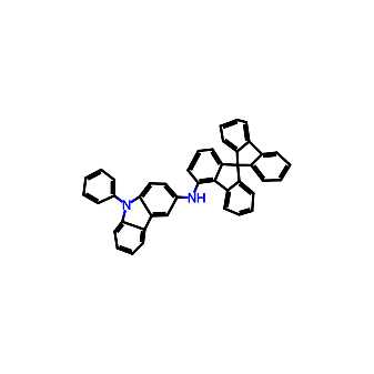 c1ccc(-n2c3ccccc3c3cc(Nc4cccc5c4-c4ccccc4C54c5ccccc5-c5ccccc54)ccc32)cc1